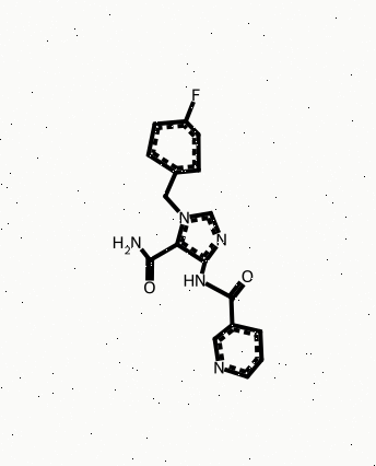 NC(=O)c1c(NC(=O)c2cccnc2)ncn1Cc1ccc(F)cc1